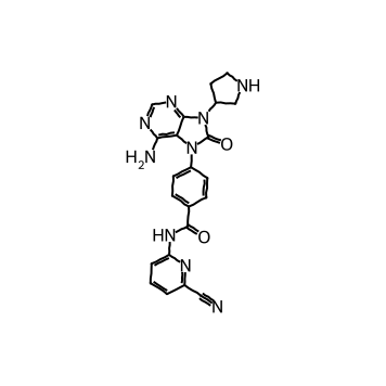 N#Cc1cccc(NC(=O)c2ccc(-n3c(=O)n(C4CCNC4)c4ncnc(N)c43)cc2)n1